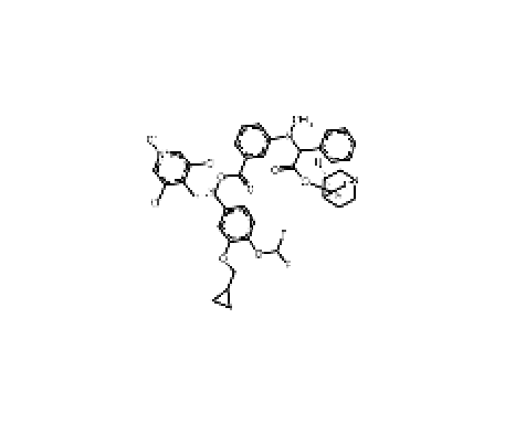 CN(c1cccc(C(=O)O[C@@H](Cc2c(Cl)c[n+]([O-])cc2Cl)c2ccc(OC(F)F)c(OCC3CC3)c2)c1)C(C(=O)O[C@H]1CN2CCC1CC2)c1ccccc1